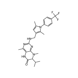 Cc1nc(NCc2cc(C)n(-c3ccc(C(F)(F)F)cc3)c2C)nc2c1NC(=O)C(C(C)C)N2C